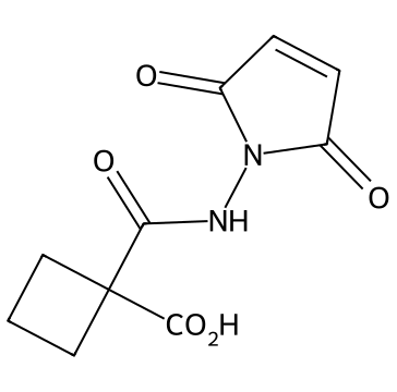 O=C1C=CC(=O)N1NC(=O)C1(C(=O)O)CCC1